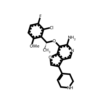 COc1ccc(F)c(Cl)c1[C@@H](C)Oc1c(N)ncc2c(C3=CCNCC3)coc12